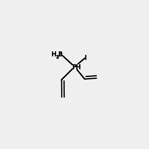 B[PH](I)(C=C)C=C